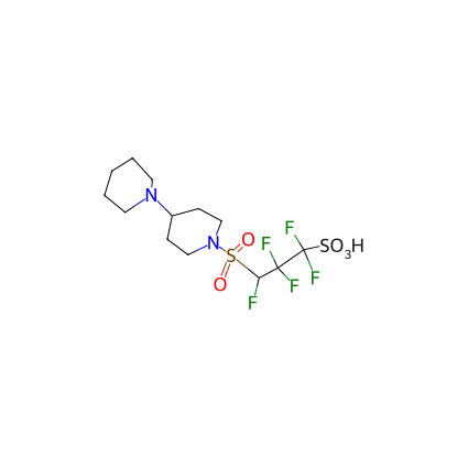 O=S(=O)(C(F)C(F)(F)C(F)(F)S(=O)(=O)O)N1CCC(N2CCCCC2)CC1